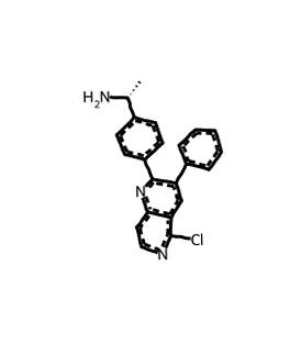 C[C@@H](N)c1ccc(-c2nc3ccnc(Cl)c3cc2-c2ccccc2)cc1